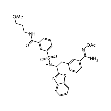 COCCCNC(=O)c1cccc(S(=O)(=O)NC(Cc2cccc(C(N)=NOC(C)=O)c2)c2nc3ccccc3s2)c1